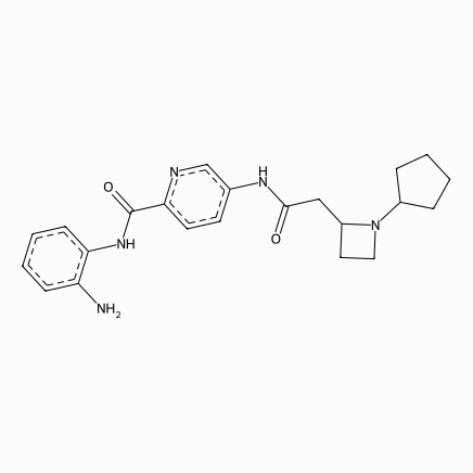 Nc1ccccc1NC(=O)c1ccc(NC(=O)CC2CCN2C2CCCC2)cn1